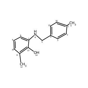 Cc1ccc(CNc2cccc(C)c2O)cc1